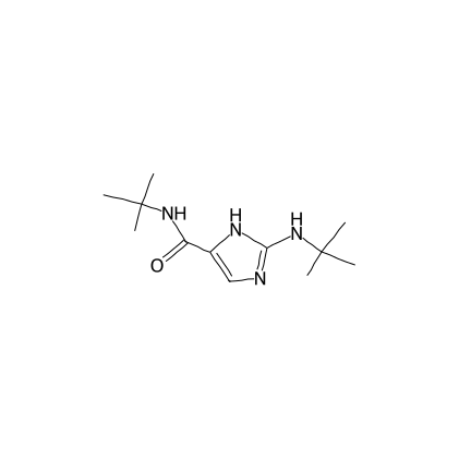 CC(C)(C)NC(=O)c1cnc(NC(C)(C)C)[nH]1